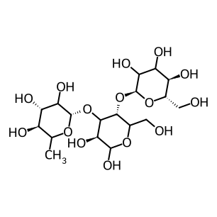 CC1O[C@@H](OC2[C@H](O)C(O)OC(CO)[C@H]2O[C@@H]2O[C@@H](CO)[C@H](O)C(O)C2O)C(O)[C@@H](O)[C@@H]1O